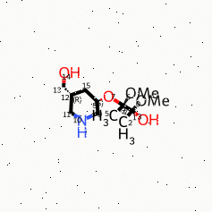 COC(C)(O)[C@@](C)(OC)O[C@@H]1CNC[C@H](CO)C1